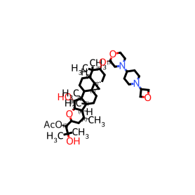 CC(=O)O[C@@H](C1C[C@@H](C)[C@H]2C(O1)[C@H](O)[C@@]1(C)C3CC[C@H]4C(C)(C)[C@@H](O[C@H]5CN(C6CCN(C7COC7)CC6)CCO5)CC[C@@]45C[C@@]35CC[C@]21C)C(C)(C)O